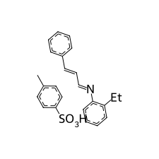 CCc1ccccc1N=CC=Cc1ccccc1.Cc1ccc(S(=O)(=O)O)cc1